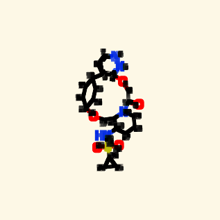 O=C1COc2nnccc2C2CCC(CC2)OCC2C(NS(=O)(=O)C3CC3)CCCN12